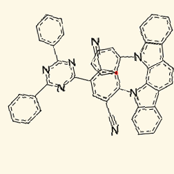 N#Cc1cc(-n2c3ccccc3c3ccc4c5ccccc5n(-c5ccccc5)c4c32)c(C#N)cc1-c1nc(-c2ccccc2)nc(-c2ccccc2)n1